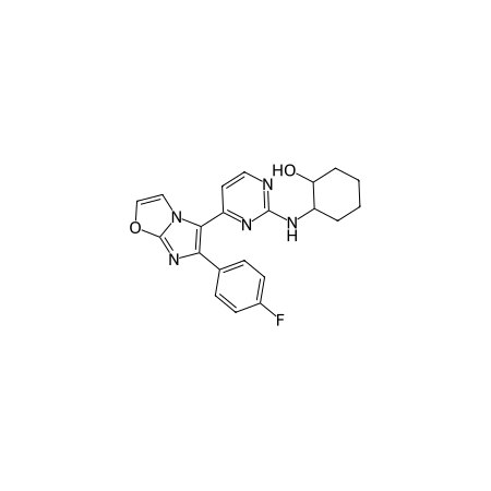 OC1CCCCC1Nc1nccc(-c2c(-c3ccc(F)cc3)nc3occn23)n1